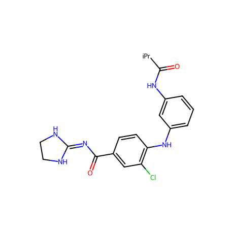 CC(C)C(=O)Nc1cccc(Nc2ccc(C(=O)N=C3NCCN3)cc2Cl)c1